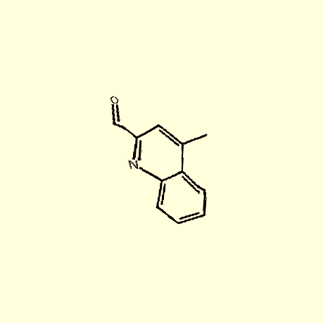 Cc1cc(C=O)nc2ccccc12